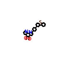 COc1c(OC)c2ccc(-c3ccc(-c4ccc5sc6ccccc6c5c4)cc3)nc2c2ncccc12